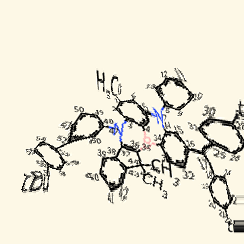 Cc1cc2c3c(c1)N(c1ccccc1)c1cc(C(c4ccc(C(C)(C)C)cc4)c4ccc(C(C)(C)C)cc4)ccc1B3C1=C(c3ccccc3C1(C)C)N2c1cccc(-c2ccc(C(C)(C)C)cc2)c1